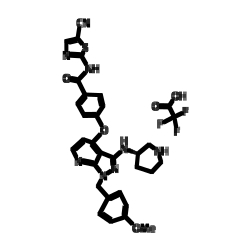 COc1ccc(Cn2nc(N[C@@H]3CCCNC3)c3c(Oc4ccc(C(=O)Nc5ncc(C#N)s5)cc4)ccnc32)cc1.O=C(O)C(F)(F)F